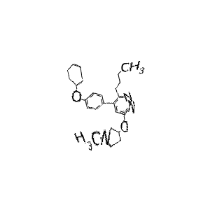 CCCCc1nnc(OC2CCN(C)C2)cc1-c1ccc(OC2CCCCC2)cc1